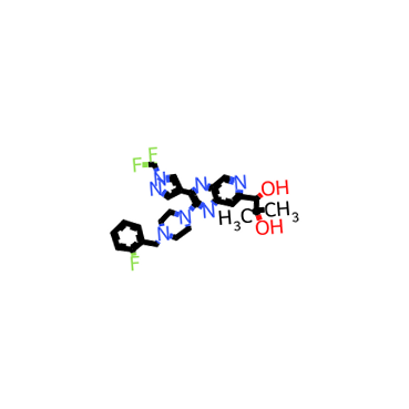 CC(C)(O)C(O)c1cc2nc(N3CCN(Cc4ccccc4F)CC3)c(-c3cnn(C(F)F)c3)nc2cn1